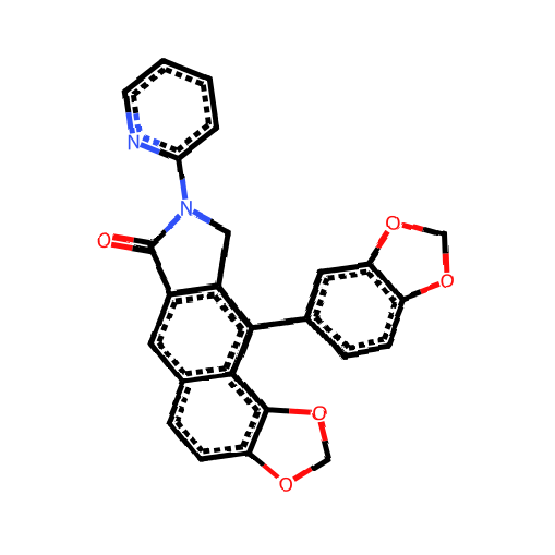 O=C1c2cc3ccc4c(c3c(-c3ccc5c(c3)OCO5)c2CN1c1ccccn1)OCO4